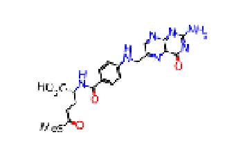 CSC(=O)CC[C@@H](NC(=O)c1ccc(NCC2=NC3C(=O)N=C(N)N=C3N=C2)cc1)C(=O)O